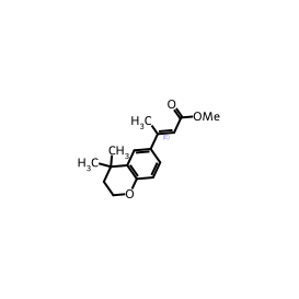 COC(=O)/C=C(\C)c1ccc2c(c1)C(C)(C)CCO2